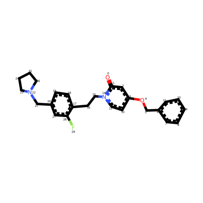 O=c1cc(OCc2ccccc2)ccn1CCc1ccc(CN2CCCC2)cc1F